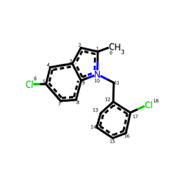 Cc1cc2cc(Cl)ccc2n1Cc1ccccc1Cl